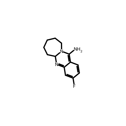 NC1=c2ccc(F)cc2=NC2CCCCCN12